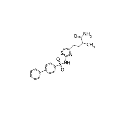 CC(CCc1csc(NS(=O)(=O)c2ccc(-c3ccccc3)cc2)n1)C(N)=O